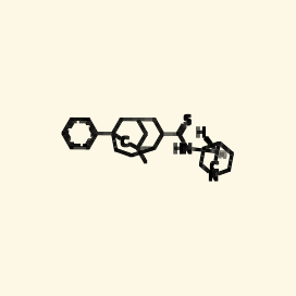 CC12CC3CC(C(=S)N[C@H]4CN5CCC4CC5)C1CCC(c1ccccc1)(C3)C2